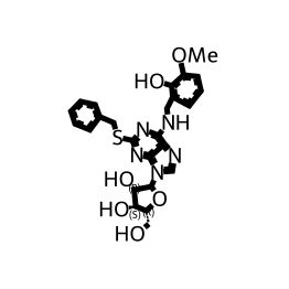 COc1cccc(CNc2nc(SCc3ccccc3)nc3c2ncn3C2O[C@H](CO)[C@@H](O)[C@H]2O)c1O